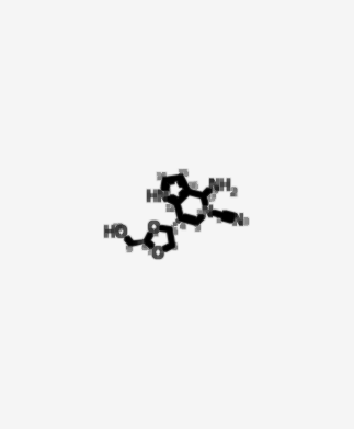 N#CN1C=C([C@@H]2CO[C@@H](CO)O2)c2[nH]ccc2C1N